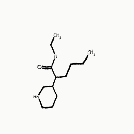 CCCCC(C(=O)OCC)C1CCCNC1